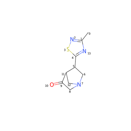 Cc1nsc(C2CN3CC(=O)C2C3)n1